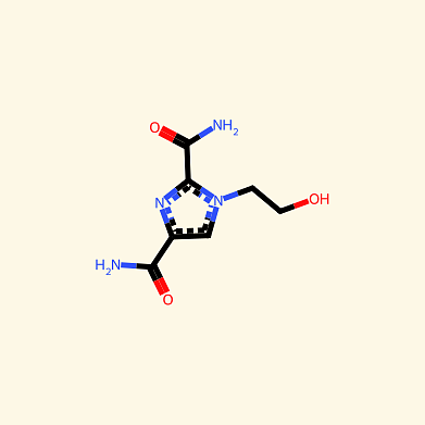 NC(=O)c1cn(CCO)c(C(N)=O)n1